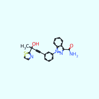 C[C@@](O)(C#Cc1cccc(-n2nc(C(N)=O)c3ccccc32)c1)c1nccs1